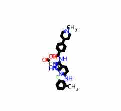 CC(=O)O.Cc1cccc(F)c1Nc1ccc2c(NC(=O)c3ccc(C4CCN(C)CC4)cc3)n[nH]c2n1